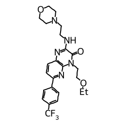 CCOCCn1c(=O)c(NCCN2CCOCC2)nc2ccc(-c3ccc(C(F)(F)F)cc3)nc21